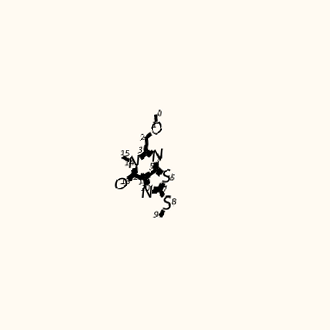 COCc1nc2sc(SC)nc2c(=O)n1C